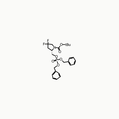 CC(C)(C)OC(=O)N1CC(F)(F)C[C@H]1COP(=O)(OCc1ccccc1)OCc1ccccc1